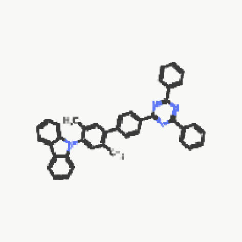 Cc1cc(-n2c3ccccc3c3ccccc32)c(C)cc1-c1ccc(-c2nc(-c3ccccc3)nc(-c3ccccc3)n2)cc1